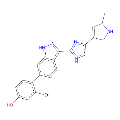 CCc1cc(O)ccc1-c1ccc2c(-c3nc(C4=CC(C)NC4)c[nH]3)n[nH]c2c1